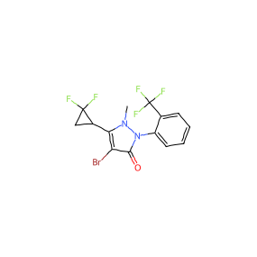 Cn1c(C2CC2(F)F)c(Br)c(=O)n1-c1ccccc1C(F)(F)F